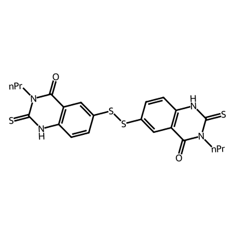 CCCn1c(=S)[nH]c2ccc(SSc3ccc4[nH]c(=S)n(CCC)c(=O)c4c3)cc2c1=O